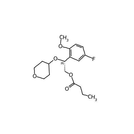 CCCC(=O)OC[C@H](OC1CCOCC1)c1cc(F)ccc1OC